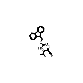 CC(C)[C@H](NC(=O)OCC1c2ccccc2-c2ccccc21)C(=O)C#N